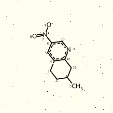 CC1CCc2cc([N+](=O)[O-])cnc2C1